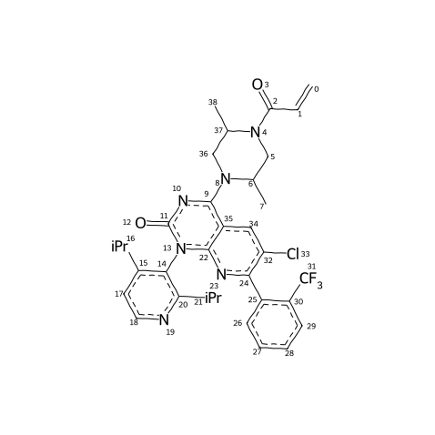 C=CC(=O)N1CC(C)N(c2nc(=O)n(-c3c(C(C)C)ccnc3C(C)C)c3nc(-c4ccccc4C(F)(F)F)c(Cl)cc23)CC1C